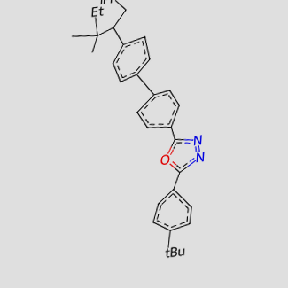 CCC(C)(C)C(CC(C)C)c1ccc(-c2ccc(-c3nnc(-c4ccc(C(C)(C)C)cc4)o3)cc2)cc1